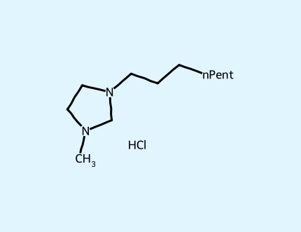 CCCCCCCCN1CCN(C)C1.Cl